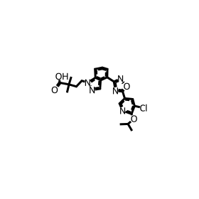 CC(C)Oc1ncc(-c2nc(-c3cccc4c3cnn4CCC(C)(C)C(=O)O)no2)cc1Cl